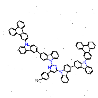 N#Cc1ccc(-c2cc(-n3c4ccccc4c4cc(-c5ccc6c(c5)c5ccccc5n6-c5ccc6c7ccccc7c7ccccc7c6c5)ccc43)nc(-n3c4ccccc4c4cc(-c5ccc6c(c5)c5ccccc5n6-c5ccc6c7ccccc7c7ccccc7c6c5)ccc43)n2)cc1